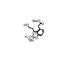 COC(=O)Cc1cccc(O[Si](C)(C)C(C)(C)C)c1CCCO